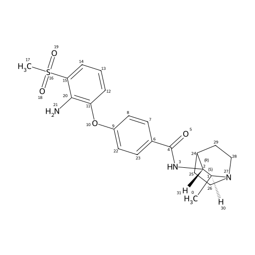 C[C@H]1[C@H](NC(=O)c2ccc(Oc3cccc(S(C)(=O)=O)c3N)cc2)C2CCN1CC2